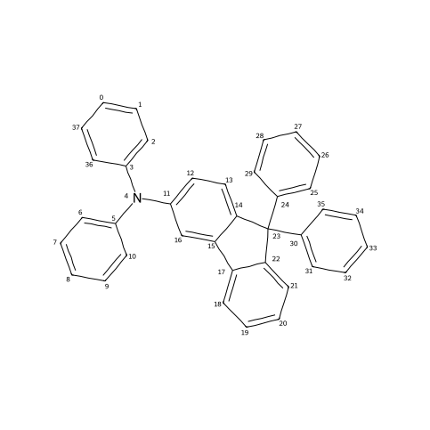 c1ccc(N(c2ccccc2)c2ccc3c(c2)-c2ccccc2C3(c2ccccc2)c2ccccc2)cc1